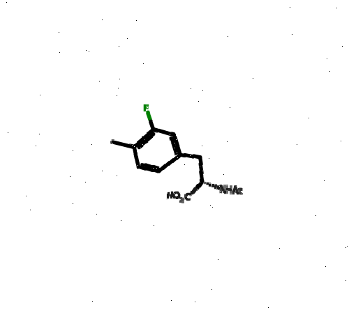 CC(=O)N[C@@H](Cc1ccc(C)c(F)c1)C(=O)O